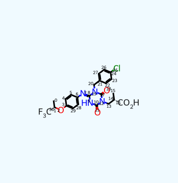 C[C@H](Oc1ccc(/N=c2\[nH]c(=O)n(C[C@H](C)C(=O)O)c(=O)n2Cc2ccc(Cl)cc2)cc1)C(F)(F)F